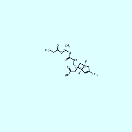 CCC(=O)O[C@H](C)OC(=O)NC[C@]1(CC(=O)O)C[C@H]2CC(C)=C[C@H]21